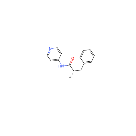 [CH2][C@@H](Cc1ccccc1)C(=O)Nc1ccncc1